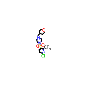 O=S(=O)(c1ccc(Cl)nc1C(F)(F)F)N1CCN(CC2CCOCC2)CC1